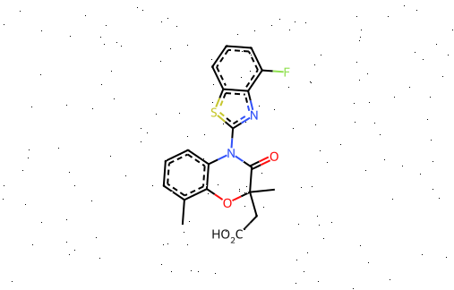 Cc1cccc2c1OC(C)(CC(=O)O)C(=O)N2c1nc2c(F)cccc2s1